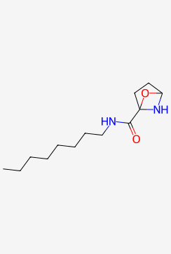 CCCCCCCCNC(=O)C12CCC(N1)O2